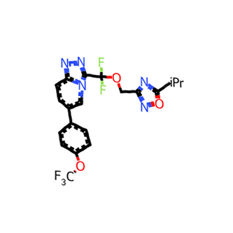 CC(C)c1nc(COC(F)(F)c2nnc3ccc(-c4ccc(OC(F)(F)F)cc4)cn23)no1